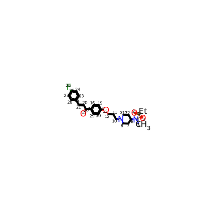 CCS(=O)(=O)N(C)C1CCN(CCCOc2ccc(C(=O)C=Cc3ccc(F)cc3)cc2)CC1